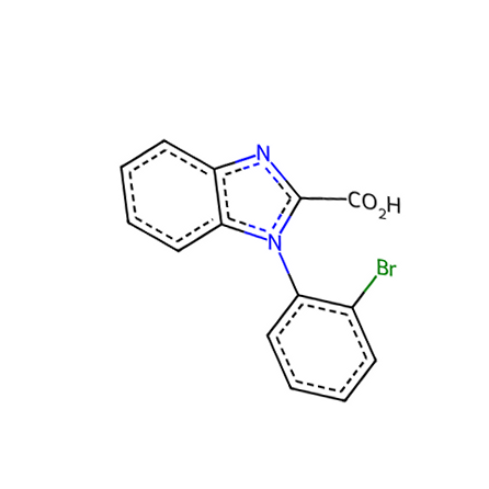 O=C(O)c1nc2ccccc2n1-c1ccccc1Br